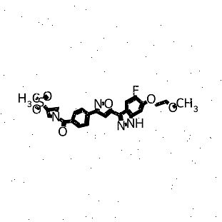 COCCOc1cc2[nH]nc(-c3cc(-c4ccc(C(=O)N5CC(S(C)(=O)=O)C5)cc4)no3)c2cc1F